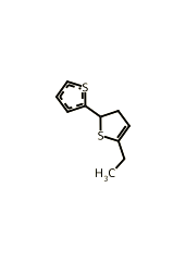 CCC1=CCC(c2cccs2)S1